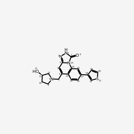 O=c1[nH]nc2cc(CN3CC[C@@H](O)C3)c3ccc(-c4ccsc4)cc3n12